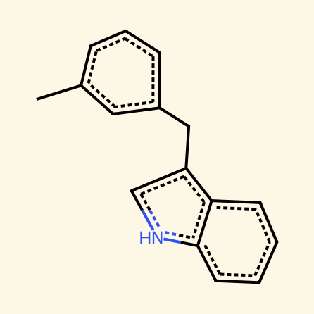 Cc1cccc(Cc2c[nH]c3ccccc23)c1